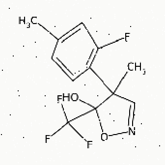 Cc1ccc(C2(C)C=NOC2(O)C(F)(F)F)c(F)c1